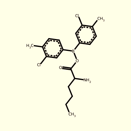 CCCCC(N)C(=O)OB(c1ccc(C)c(Cl)c1)c1ccc(C)c(Cl)c1